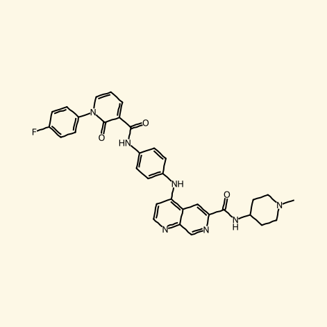 CN1CCC(NC(=O)c2cc3c(Nc4ccc(NC(=O)c5cccn(-c6ccc(F)cc6)c5=O)cc4)ccnc3cn2)CC1